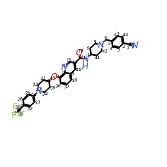 N#Cc1ccc(CN2CCC(NC(=O)c3cnc4c(OC5CCN(c6ccc(C(F)(F)F)cc6)CC5)cccc4c3)CC2)cc1